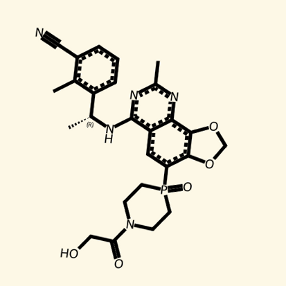 Cc1nc(N[C@H](C)c2cccc(C#N)c2C)c2cc(P3(=O)CCN(C(=O)CO)CC3)c3c(c2n1)OCO3